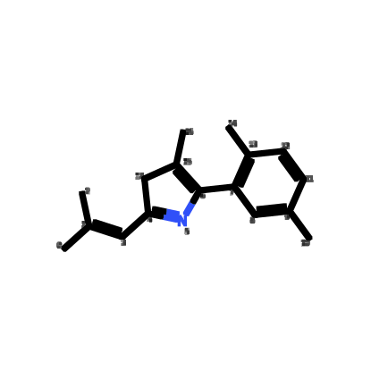 CC(C)=CC1=NC(c2cc(C)ccc2C)=C(C)C1